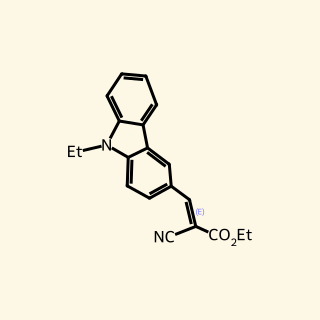 CCOC(=O)/C(C#N)=C/c1ccc2c(c1)c1ccccc1n2CC